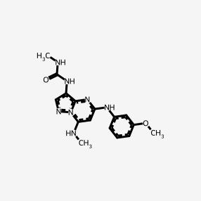 CNC(=O)Nc1cnn2c(NC)cc(Nc3cccc(OC)c3)nc12